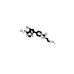 CCCNC(=O)N1CCC(c2cc(Br)c3c(N)ncnn23)CC1